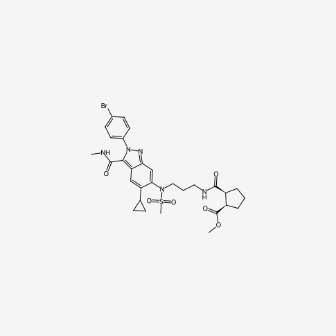 CNC(=O)c1c2cc(C3CC3)c(N(CCCNC(=O)[C@H]3CCC[C@H]3C(=O)OC)S(C)(=O)=O)cc2nn1-c1ccc(Br)cc1